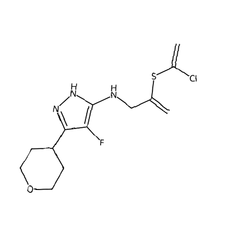 C=C(Cl)SC(=C)CNc1[nH]nc(C2CCOCC2)c1F